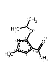 CC(C)Oc1nn(C)cc1C(N)=O